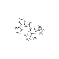 CC(=CC(=O)O)c1ccccc1NC(=O)c1cc([Si](C)(C)C)cc([Si](C)(C)C)c1